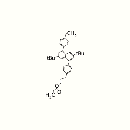 C=CC(=O)OCCCc1ccc(-c2cc(C(C)(C)C)cc3c(-c4ccc(C=C)cc4)cc(C(C)(C)C)cc23)cc1